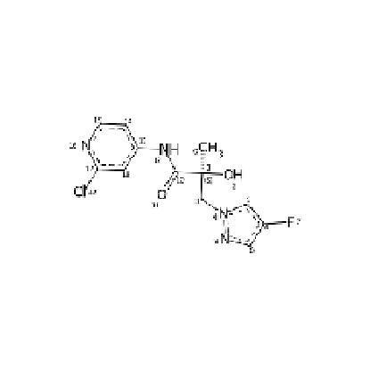 C[C@](O)(Cn1cc(F)cn1)C(=O)Nc1ccnc(Cl)c1